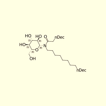 CCCCCCCCCCCCCCCCCCN(C(=O)CCCCCCCCCCC)[C@@H]1O[C@H](CO)[C@@H](O)[C@H](O)[C@H]1O